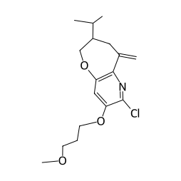 C=C1CC(C(C)C)COc2cc(OCCCOC)c(Cl)nc21